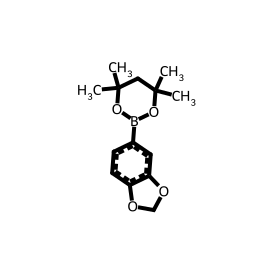 CC1(C)CC(C)(C)OB(c2ccc3c(c2)OCO3)O1